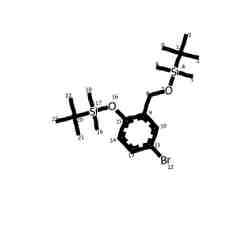 CC(C)(C)[Si](C)(C)OCc1cc(Br)ccc1O[Si](C)(C)C(C)(C)C